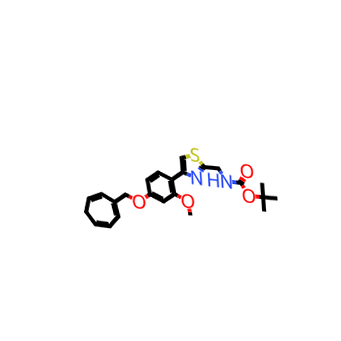 COc1cc(OCC2=CC=CCC=C2)ccc1-c1csc(CNC(=O)OC(C)(C)C)n1